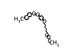 C=C=COOCCCCCCOc1ccc(OCOc2ccc3cc(C)ccc3c2)cc1